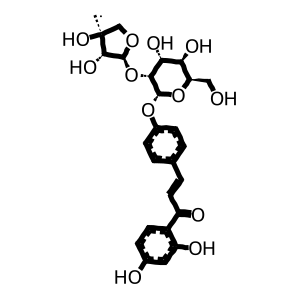 [CH2][C@]1(O)CO[C@@H](O[C@H]2[C@@H](Oc3ccc(/C=C/C(=O)c4ccc(O)cc4O)cc3)O[C@H](CO)[C@H](O)[C@H]2O)[C@@H]1O